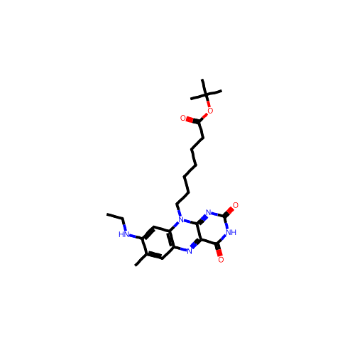 CCNc1cc2c(cc1C)nc1c(=O)[nH]c(=O)nc-1n2CCCCCCC(=O)OC(C)(C)C